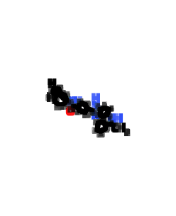 C=C(Nc1ccc2[nH]c(-c3ccc(C(=O)NC45CCC[C@H]6C[C@@H](CC6C4)C5)cc3)nc2c1)c1ccccc1